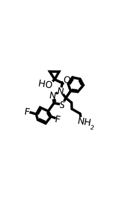 NCCCC1(c2ccccc2)SC(c2cc(F)ccc2F)=NN1C(=O)C1(O)CC1